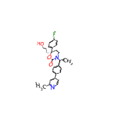 Cc1cc(-c2ccc([C@H](C)N3CC[C@](CCCO)(c4ccc(F)cc4)OC3=O)cc2)ccn1